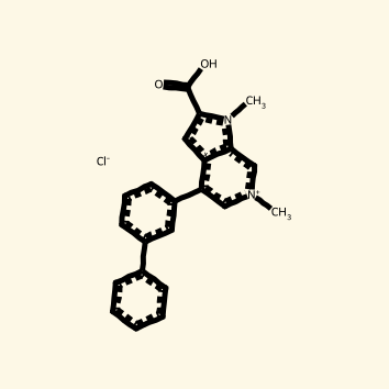 Cn1c(C(=O)O)cc2c(-c3cccc(-c4ccccc4)c3)c[n+](C)cc21.[Cl-]